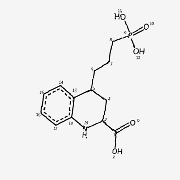 O=C(O)C1CC(CCCP(=O)(O)O)c2ccccc2N1